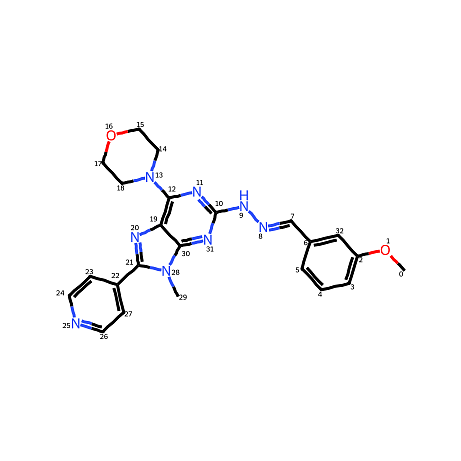 COc1cccc(/C=N/Nc2nc(N3CCOCC3)c3nc(-c4ccncc4)n(C)c3n2)c1